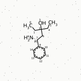 CCC(O)(CC)C[C@@H](N)c1ccccc1